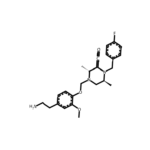 COc1cc(CCN)ccc1OCN1C[C@H](C)N(Cc2ccc(F)cc2)C(=C=O)[C@H]1C